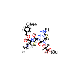 CCNc1nc(/C(=N/OC(C)(C)C(=O)OC(C)(C)C)C(=O)N[C@@H]2C(=O)N3C(C(=O)OCc4ccc(OC)cc4)=C(/C=C/CI)CSC23)cs1